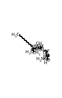 CCCCCCCCCCCCCC[C@H]1OC(C)(C)O[C@H]1[C@H](COP(=O)(O)OC[C@@H]1CC(F)[C@H](n2ccc3c(=O)[nH]c(N)nc32)O1)NC(C)=O